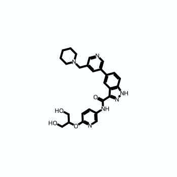 O=C(Nc1ccc(OC(CO)CO)nc1)c1n[nH]c2ccc(-c3cncc(CN4CCCCC4)c3)cc12